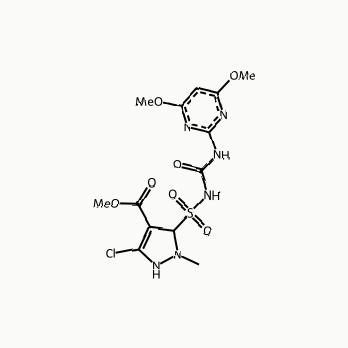 COC(=O)C1=C(Cl)NN(C)C1S(=O)(=O)NC(=O)Nc1nc(OC)cc(OC)n1